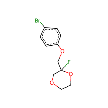 FC1(COc2ccc(Br)cc2)COCCO1